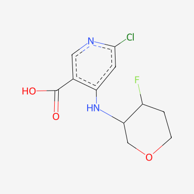 O=C(O)c1cnc(Cl)cc1NC1COCCC1F